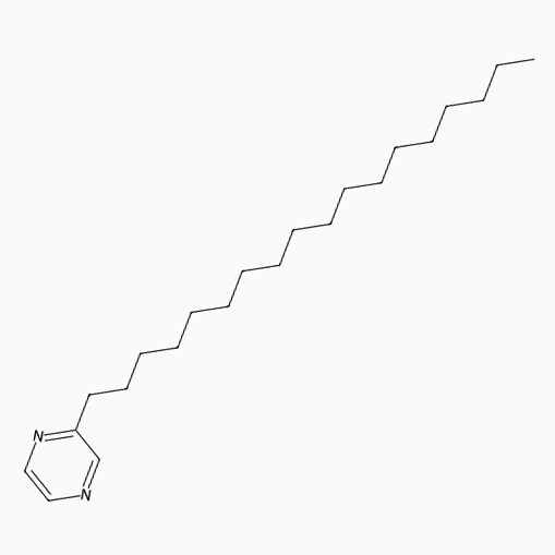 CCCCCCCCCCCCCCCCCCc1cnccn1